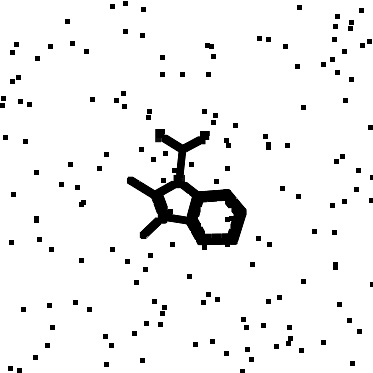 CC1=S(C)c2ccccc2N1C(F)F